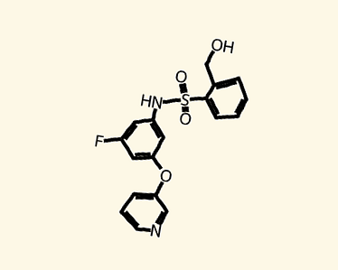 O=S(=O)(Nc1cc(F)cc(Oc2cccnc2)c1)c1ccccc1CO